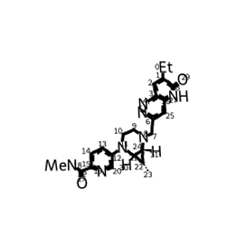 CCc1cc2nnc(CN3CCN(c4ccc(C(=O)NC)nc4)[C@H]4[C@@H](C)[C@H]43)cc2[nH]c1=O